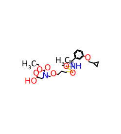 CCOC(=O)N(COCCCS(=O)(=O)N[C@H](C)c1cccc(OCC2CC2)c1)CC(=O)O